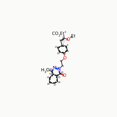 CCOC(=O)/C(=C/c1ccc(OCCn2nc(C)c3ccccc3c2=O)cc1)OCC